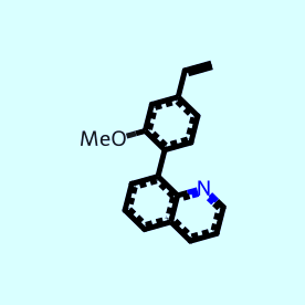 C=Cc1ccc(-c2cccc3cccnc23)c(OC)c1